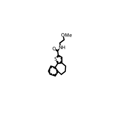 COCCNC(=O)c1cc2c(s1)-c1ccccc1CCC2